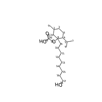 CC1CCC(C(C)C)C(CCCCCCCCCO)(OC(=O)O)C1